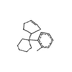 Cc1ccccc1C1(C2CC=CCC2)CCCCC1